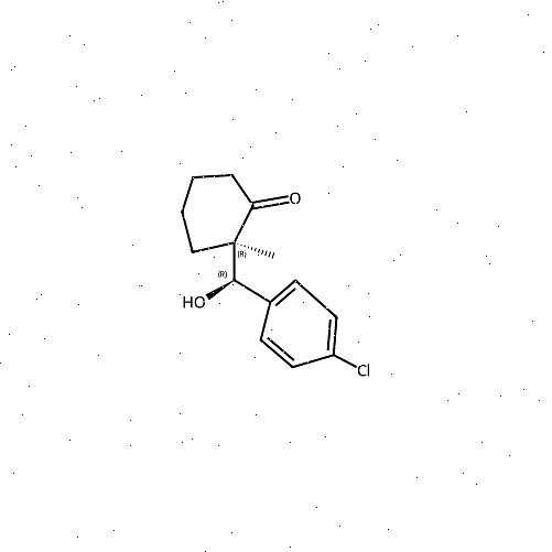 C[C@]1([C@H](O)c2ccc(Cl)cc2)CCCCC1=O